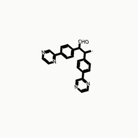 [CH2]C(c1ccc(-c2cnccn2)cc1)C(C=O)c1ccc(-c2cnccn2)cc1